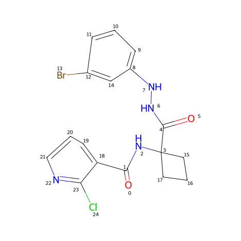 O=C(NC1(C(=O)NNc2cccc(Br)c2)CCC1)c1cccnc1Cl